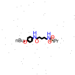 CCCCOc1ccc(NC(=O)CCCCNS(=O)(=O)C(C)C)cc1